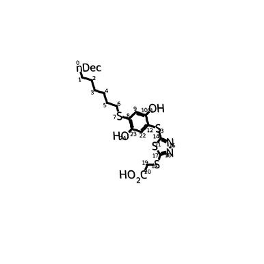 CCCCCCCCCCCCCCCCSc1cc(O)c(Sc2nnc(SCC(=O)O)s2)cc1O